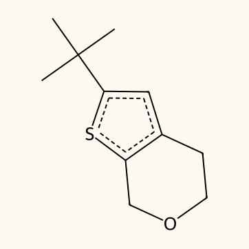 CC(C)(C)c1cc2c(s1)COCC2